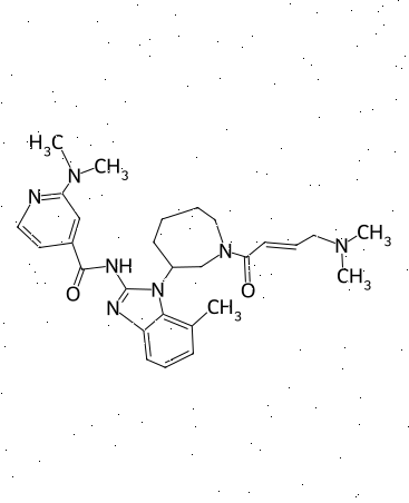 Cc1cccc2nc(NC(=O)c3ccnc(N(C)C)c3)n(C3CCCCN(C(=O)/C=C/CN(C)C)C3)c12